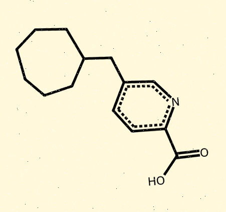 O=C(O)c1ccc(CC2CCCCCC2)cn1